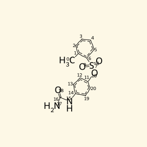 Cc1ccccc1S(=O)(=O)Oc1ccc(NC(N)=O)cc1